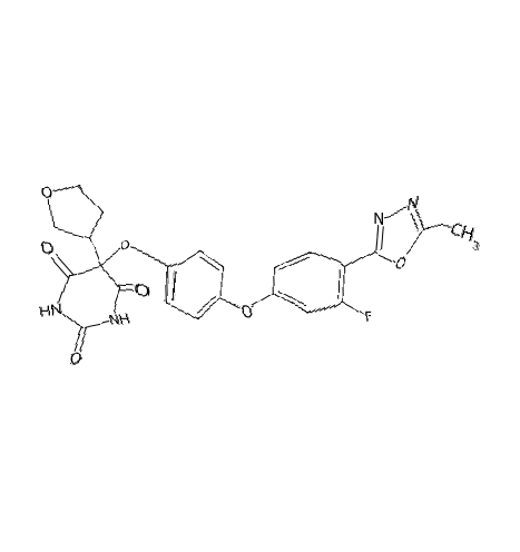 Cc1nnc(-c2ccc(Oc3ccc(OC4(C5CCOC5)C(=O)NC(=O)NC4=O)cc3)cc2F)o1